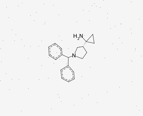 NC1([C@@H]2CCN(C(c3ccccc3)c3ccccc3)C2)CC1